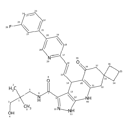 CC(C)(CO)CNC(=O)c1n[nH]c2c1C(C=Cc1ccc(-c3cccc(F)c3)cn1)C1=C(CC3(CCC3)CC1=O)N2